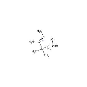 C/N=C(\N)[N+](C)(C)C.O=C[O-]